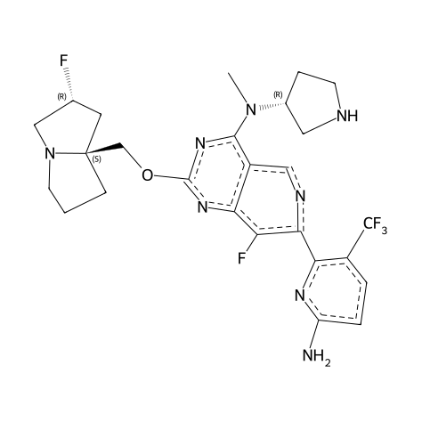 CN(c1nc(OC[C@@]23CCCN2C[C@H](F)C3)nc2c(F)c(-c3nc(N)ccc3C(F)(F)F)ncc12)[C@@H]1CCNC1